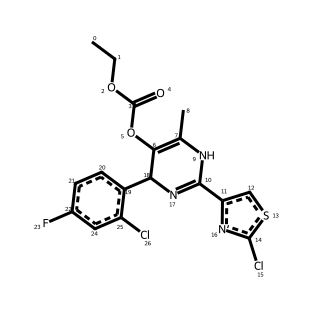 CCOC(=O)OC1=C(C)NC(c2csc(Cl)n2)=NC1c1ccc(F)cc1Cl